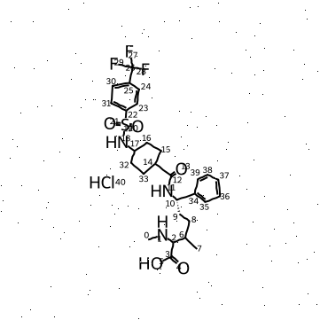 CNC(C(=O)O)C(C)CC[C@H](NC(=O)C1CCC(NS(=O)(=O)c2ccc(C(F)(F)F)cc2)CC1)c1ccccc1.Cl